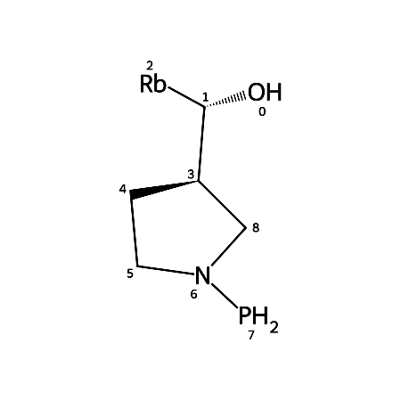 O[C@@H]([Rb])[C@@H]1CCN(P)C1